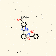 COC(=O)c1ccc2[nH]c(-c3cccc4oc(-c5ccccc5O)nc34)nc2c1